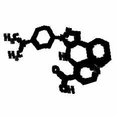 CN(C)[C@H]1CC[C@@H](n2ncc(-c3ccccc3)c2Nc2cnccc2C(=O)O)CC1